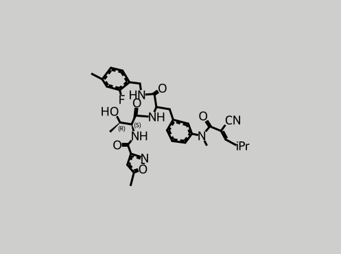 Cc1ccc(CNC(=O)C(Cc2cccc(N(C)C(=O)C(C#N)=CC(C)C)c2)NC(=O)[C@@H](NC(=O)c2cc(C)on2)[C@@H](C)O)c(F)c1